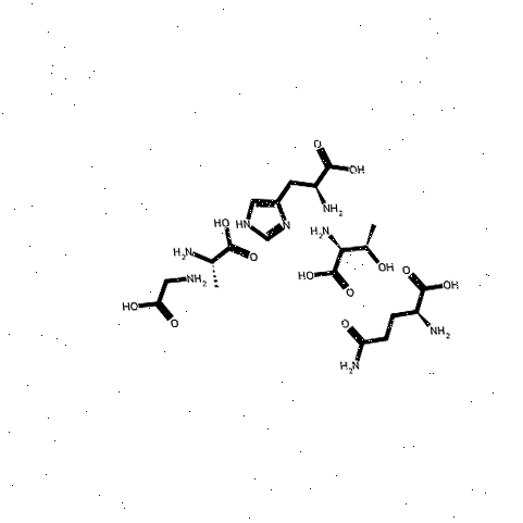 C[C@@H](O)[C@H](N)C(=O)O.C[C@H](N)C(=O)O.NC(=O)CC[C@H](N)C(=O)O.NCC(=O)O.N[C@@H](Cc1c[nH]cn1)C(=O)O